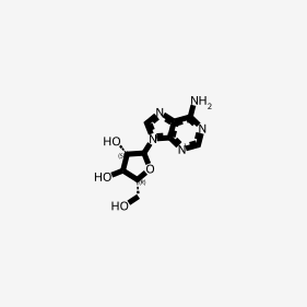 Nc1ncnc2c1ncn2C1O[C@H](CO)C(O)[C@@H]1O